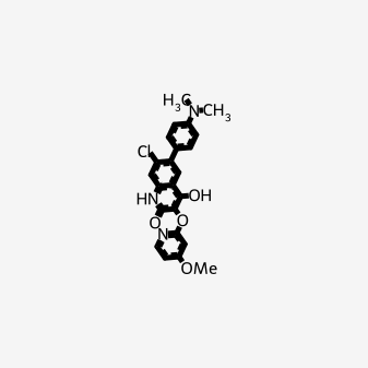 COc1ccnc(Oc2c(O)c3cc(-c4ccc(N(C)C)cc4)c(Cl)cc3[nH]c2=O)c1